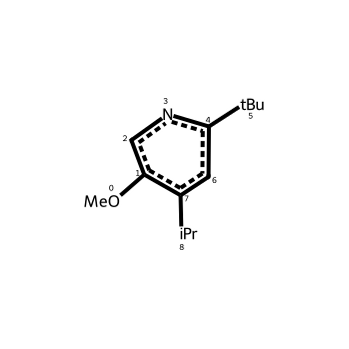 COc1cnc(C(C)(C)C)cc1C(C)C